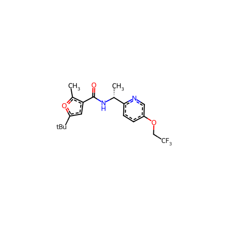 Cc1oc(C(C)(C)C)cc1C(=O)N[C@H](C)c1ccc(OCC(F)(F)F)cn1